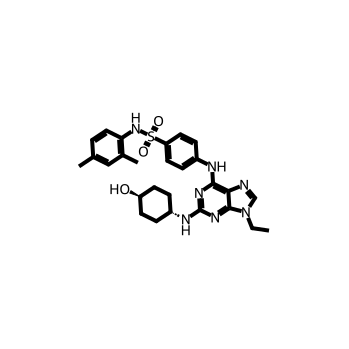 CCn1cnc2c(Nc3ccc(S(=O)(=O)Nc4ccc(C)cc4C)cc3)nc(N[C@H]3CC[C@H](O)CC3)nc21